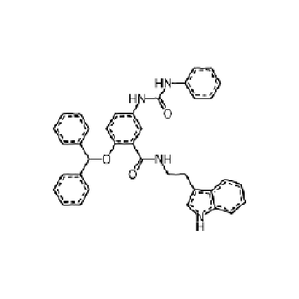 O=C(Nc1ccccc1)Nc1ccc(OC(c2ccccc2)c2ccccc2)c(C(=O)NCCc2c[nH]c3ccccc23)c1